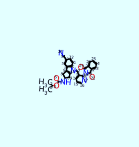 CC(C)OC(=O)NC1Cc2c(n(Cc3cccnc3N3C(=O)c4ccccc4C3=O)c3ccc(C#N)cc23)C1